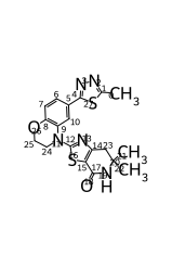 Cc1nnc(-c2ccc3c(c2)N(c2nc4c(s2)C(=O)NC(C)(C)C4)CCO3)s1